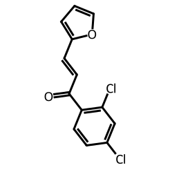 O=C(/C=C/c1ccco1)c1ccc(Cl)cc1Cl